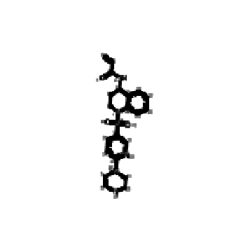 C=CC(=O)NC1CCN(S(=O)(=O)c2ccc(N3CCOCC3)nc2)c2ccccc21